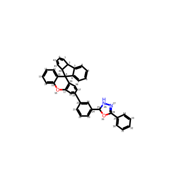 C1=CC2c3ccccc3C3(c4ccccc4Oc4cc(-c5cccc(C6NN=C(c7ccccc7)O6)c5)ccc43)C2C=C1